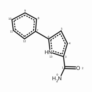 NC(=O)c1ccc(-c2ccccc2)[nH]1